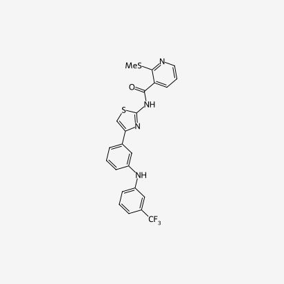 CSc1ncccc1C(=O)Nc1nc(-c2cccc(Nc3cccc(C(F)(F)F)c3)c2)cs1